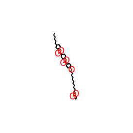 C=CC(=O)OCCCCCCCCCCCOc1ccc(C(=O)OC2CCC(C(=O)Oc3ccc(CCCCCC)cc3)CC2)cc1